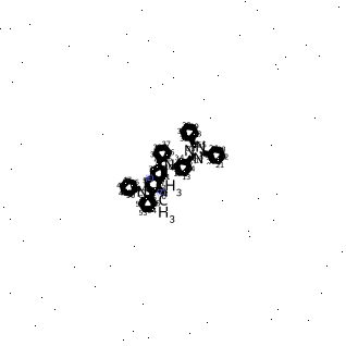 C/C=C\c1c(/C=C2/C=c3c(n(-c4cccc(-c5nc(-c6ccccc6)nc(-c6ccccc6)n5)c4)c4ccccc34)=CC2C)n(-c2ccccc2)c2ccccc12